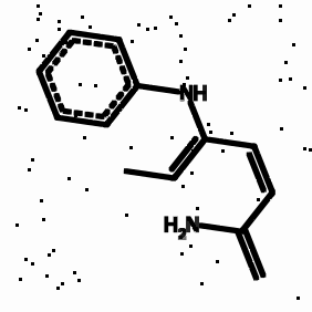 C=C(N)/C=C\C(=CC)Nc1ccccc1